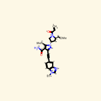 C=CC(=O)N1C[C@@H](n2nc(C#Cc3ccc4c(c3)ncn4CC)c(C(N)=O)c2NC)C[C@@H]1COC